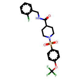 O=C(NCc1ccccc1F)C1CCN(S(=O)(=O)c2ccc(OC(F)(F)F)cc2)CC1